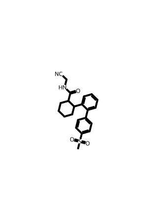 CS(=O)(=O)c1ccc(-c2ccccc2C2CCCCC2C(=O)NCC#N)cc1